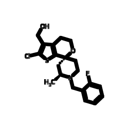 C[C@H]1C[C@@]2(CCN1Cc1ccccc1F)OCCc1c2sc(Cl)c1CO